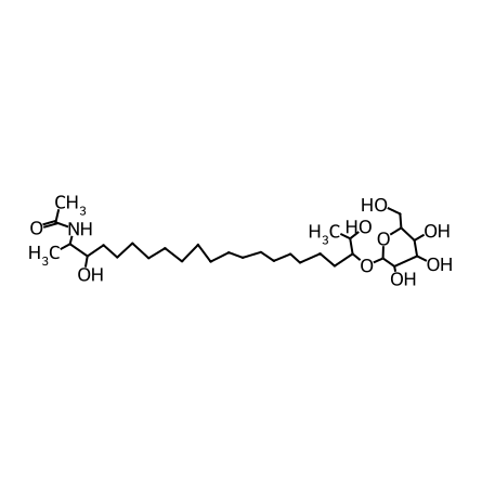 CC(=O)NC(C)C(O)CCCCCCCCCCCCCCCCC(OC1OC(CO)C(O)C(O)C1O)C(C)O